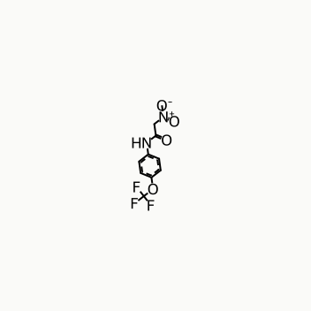 O=C(C[N+](=O)[O-])Nc1ccc(OC(F)(F)F)cc1